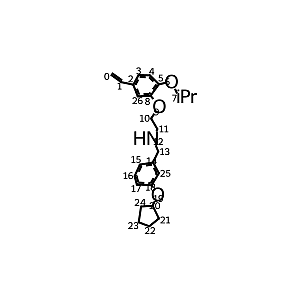 C=Cc1ccc(OC(C)C)c(OCCNCc2cccc(OC3CCCC3)c2)c1